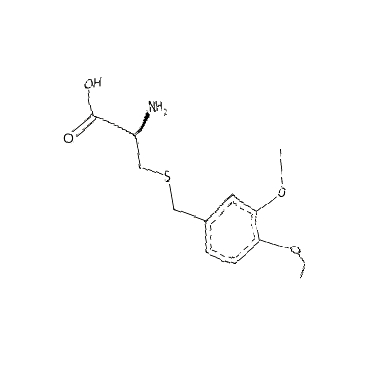 COc1ccc(CSC[C@H](N)C(=O)O)cc1OC